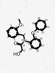 COc1ccccc1CN(C(=O)CO)c1ccccc1Oc1ccccc1